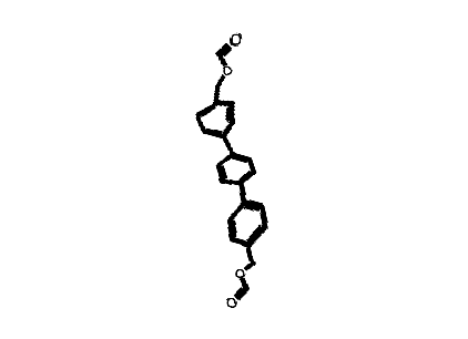 O=COCc1ccc(-c2ccc(-c3ccc(COC=O)cc3)cc2)cc1